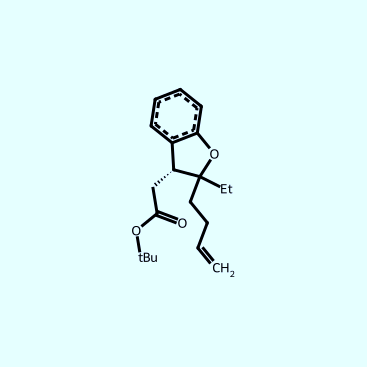 C=CCCC1(CC)Oc2ccccc2[C@H]1CC(=O)OC(C)(C)C